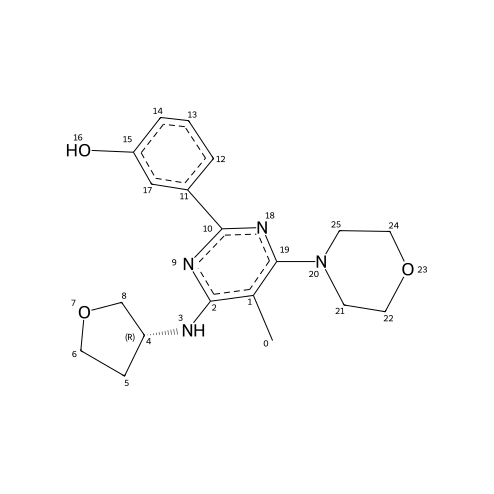 Cc1c(N[C@@H]2CCOC2)nc(-c2cccc(O)c2)nc1N1CCOCC1